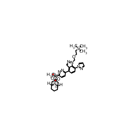 CN(c1ccc(-c2ccc(-n3cccn3)c3c2cnn3COCC[Si](C)(C)C)nn1)C1C[C@H]2CCC[C@@H](C1)N2C(=O)OC(C)(C)C